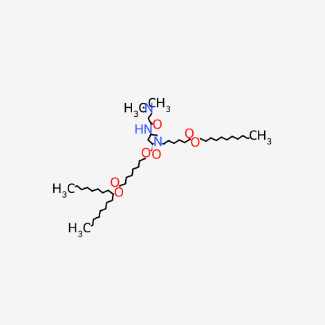 CCCCCCCCCCCOC(=O)CCCCCN1C[C@H](NC(=O)CCN(C)C)C[C@H]1C(=O)OCCCCCCCC(=O)OC(CCCCCCCC)CCCCCCCC